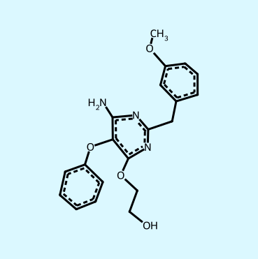 COc1cccc(Cc2nc(N)c(Oc3ccccc3)c(OCCO)n2)c1